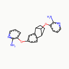 Nc1ncccc1Oc1ccc2c(c1)C1CCC2C1Oc1cccnc1N